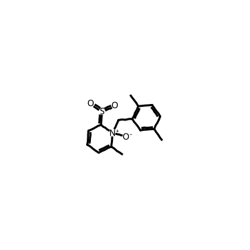 CC1=CC=CC(=S(=O)=O)[N+]1([O-])Cc1cc(C)ccc1C